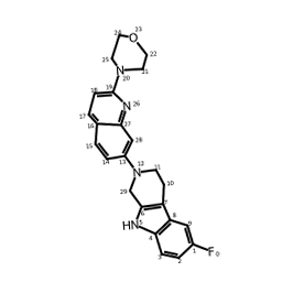 Fc1ccc2[nH]c3c(c2c1)CCN(c1ccc2ccc(N4CCOCC4)nc2c1)C3